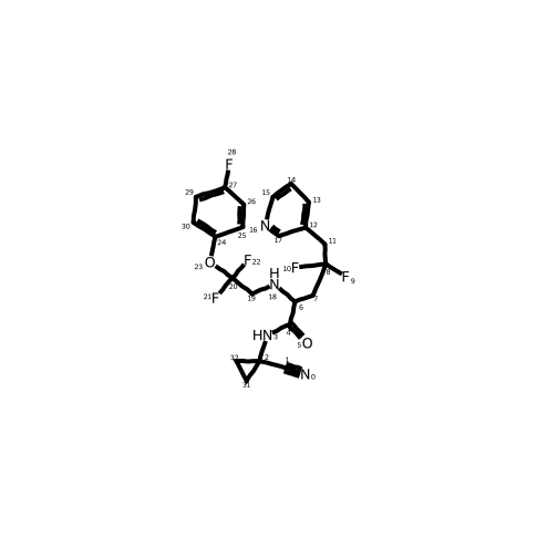 N#CC1(NC(=O)C(CC(F)(F)Cc2cccnc2)NCC(F)(F)Oc2ccc(F)cc2)CC1